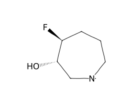 O[C@H]1C[N]CCC[C@@H]1F